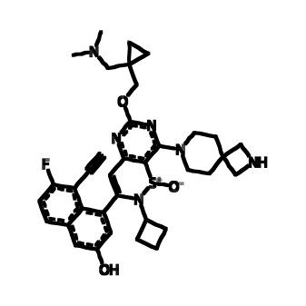 C#Cc1c(F)ccc2cc(O)cc(C3=Cc4nc(OCC5(CN(C)C)CC5)nc(N5CCC6(CC5)CNC6)c4[S+]([O-])N3C3CCC3)c12